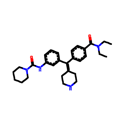 CCN(CC)C(=O)c1ccc(C(=C2CCNCC2)c2cccc(NC(=O)N3CCCCC3)c2)cc1